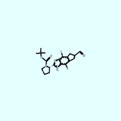 CC(C)(C)OC(=O)N1CCC[C@H]1c1nc2c(F)c3c(c(F)c2[nH]1)CC(C=O)C3